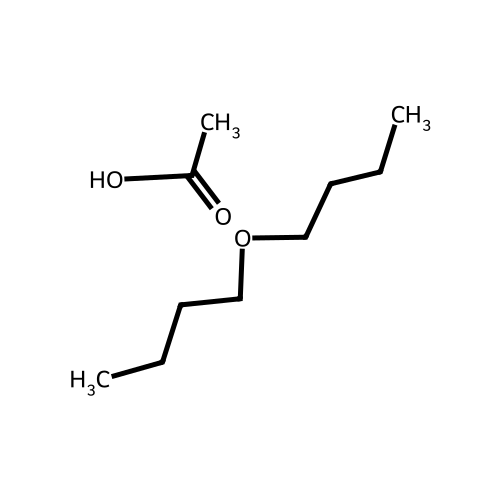 CC(=O)O.CCCCOCCCC